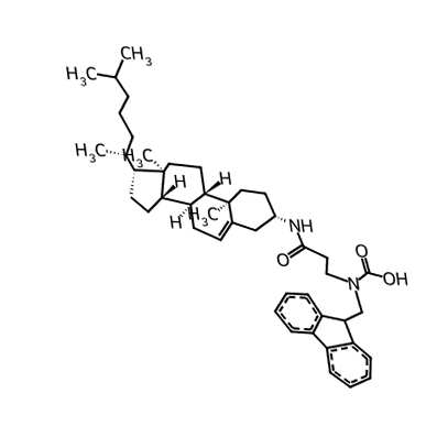 CC(C)CCC[C@@H](C)[C@H]1CC[C@H]2[C@@H]3CC=C4C[C@@H](NC(=O)CCN(CC5c6ccccc6-c6ccccc65)C(=O)O)CC[C@]4(C)[C@H]3CC[C@]12C